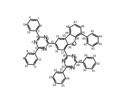 c1ccc(-c2nc(-c3ccccc3)nc(-c3cc(-c4nc(-c5ccccc5)nc(-c5ccccc5)n4)c4oc5c(-c6ccccc6)cccc5c4c3)n2)cc1